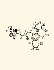 CS(=O)(=O)NC(=O)/C=C/c1ccc(C2=C(c3ccccc3)CCCc3ccccc32)cc1